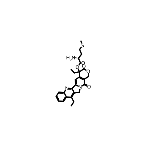 CCc1c2c(nc3ccccc13)-c1cc3c(c(=O)n1C2)COC(=O)C3(CC)OC(=O)[C@@H](N)CCSC